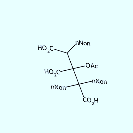 CCCCCCCCCC(C(=O)O)C(OC(C)=O)(C(=O)O)C(CCCCCCCCC)(CCCCCCCCC)C(=O)O